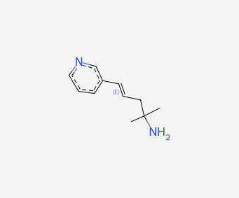 CC(C)(N)C/C=C/c1cccnc1